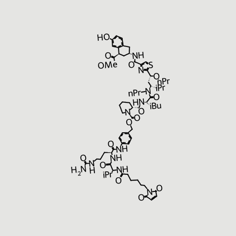 CCCO[C@H](C[C@H](C(C)C)N(CCC)C(=O)[C@@H](NC(=O)[C@H]1CCCCN1C(=O)OCc1ccc(NC(=O)[C@H](CCCNC(N)=O)NC(=O)[C@@H](NC(=O)CCCCCN2C(=O)C=CC2=O)C(C)C)cc1)[C@@H](C)CC)c1nc(C(=O)N[C@H]2Cc3ccc(O)cc3[C@H](C(=O)OC)C2)cs1